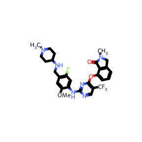 COc1cc(CNC2CCN(C)CC2)c(F)cc1Nc1ncc(C(F)(F)F)c(Oc2cccc3c2C(=O)N(C)C3)n1